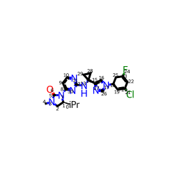 CC(C)[C@H]1CN(C)C(=O)N1c1ccnc(NC2(c3cn(C4C=C(Cl)C=C(F)C4)cn3)CC2)n1